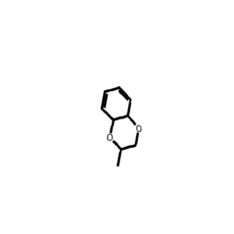 CC1COC2C=CC=CC2O1